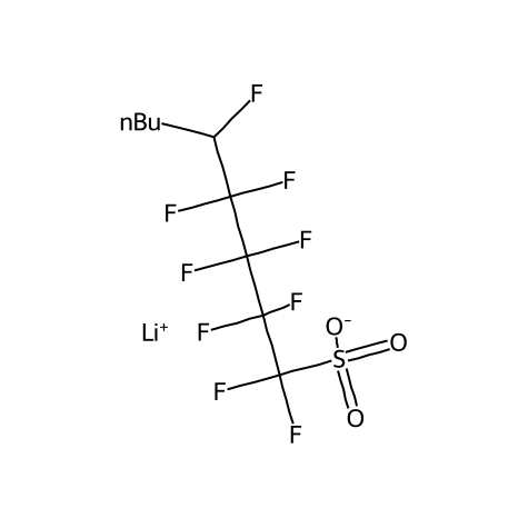 CCCCC(F)C(F)(F)C(F)(F)C(F)(F)C(F)(F)S(=O)(=O)[O-].[Li+]